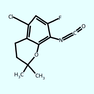 CC1(C)CCc2c(Cl)cc(F)c(N=C=O)c2O1